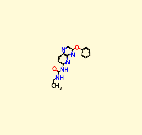 CCNC(=O)Nc1ccc2ncc(Oc3ccccc3)nc2n1